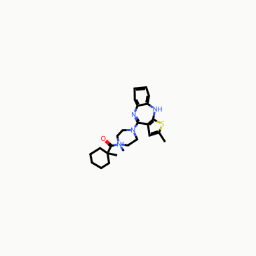 Cc1cc2c(s1)Nc1ccccc1N=C2N1CC[N+](C)(C(=O)C2(C)CCCCC2)CC1